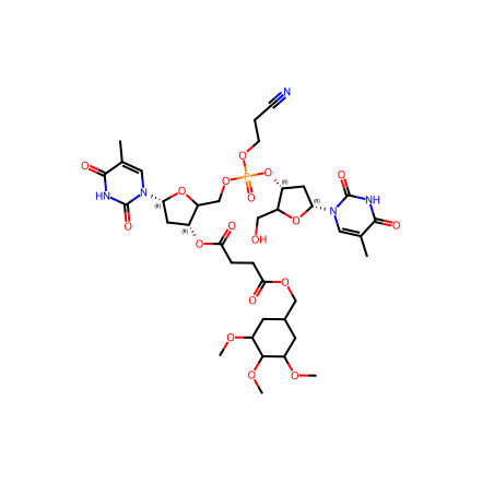 COC1CC(COC(=O)CCC(=O)O[C@@H]2C[C@H](n3cc(C)c(=O)[nH]c3=O)OC2COP(=O)(OCCC#N)O[C@@H]2C[C@H](n3cc(C)c(=O)[nH]c3=O)OC2CO)CC(OC)C1OC